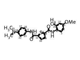 COc1ccc(NC(=O)c2ccc(C(=O)Nc3ccc(N(C)C)cc3)s2)c(C)c1